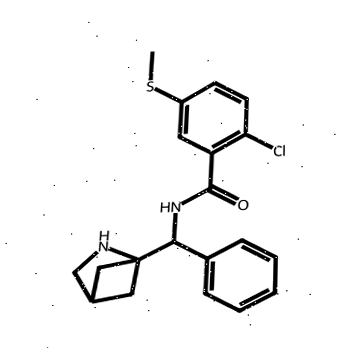 CSc1ccc(Cl)c(C(=O)NC(c2ccccc2)C23CC(CN2)C3)c1